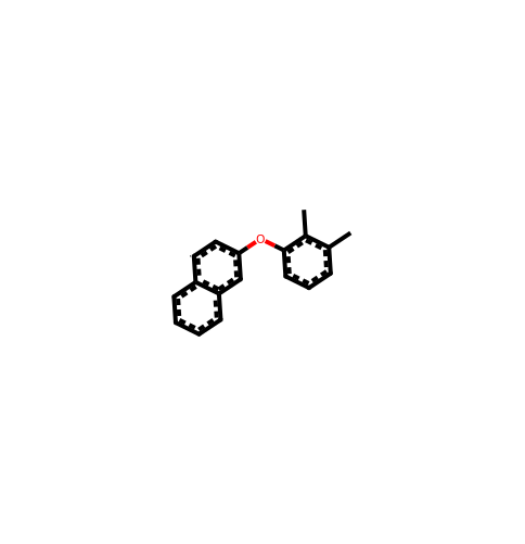 Cc1cccc(Oc2c[c]c3ccccc3c2)c1C